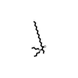 CCCCCCCCCCCCCC(=O)C(CC)N(CCCC)CCCC